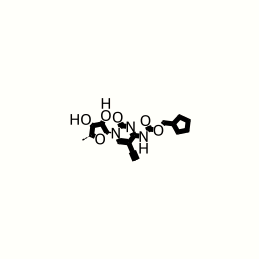 C#Cc1cn([C@@H]2O[C@H](C)C(O)C2O)c(=O)nc1NC(=O)OCC1CCCC1